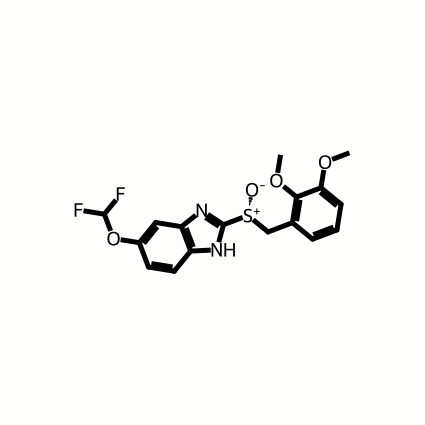 COc1cccc(C[S@@+]([O-])c2nc3cc(OC(F)F)ccc3[nH]2)c1OC